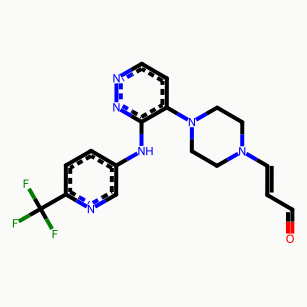 O=CC=CN1CCN(c2ccnnc2Nc2ccc(C(F)(F)F)nc2)CC1